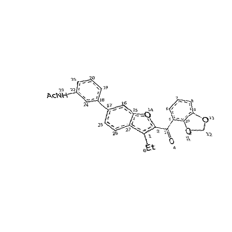 CCc1c(C(=O)c2cccc3c2OCO3)oc2cc(-c3cccc(NC(C)=O)c3)ccc12